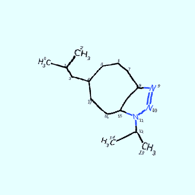 CC(C)CC1CCCC2N=NN(C(C)C)C2CC1